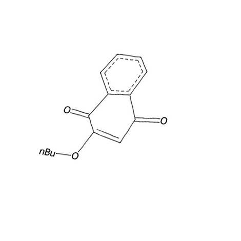 CCCCOC1=CC(=O)c2ccccc2C1=O